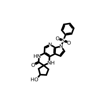 O=C1Nc2cnc3c(ccn3S(=O)(=O)c3ccccc3)c2NC12CCC(O)C2